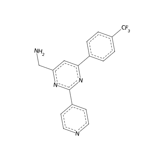 NCc1cc(-c2ccc(C(F)(F)F)cc2)nc(-c2ccncc2)n1